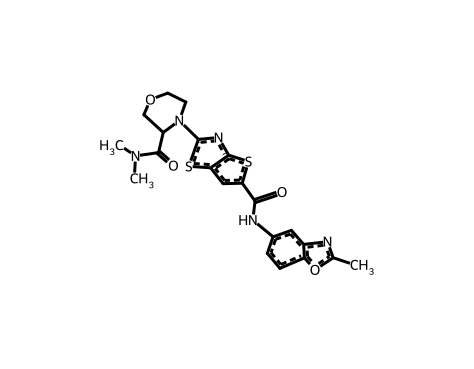 Cc1nc2cc(NC(=O)c3cc4sc(N5CCOCC5C(=O)N(C)C)nc4s3)ccc2o1